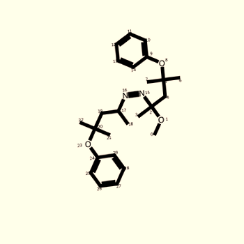 COC(C)(CC(C)(C)Oc1ccccc1)N=NC(C)CC(C)(C)Oc1ccccc1